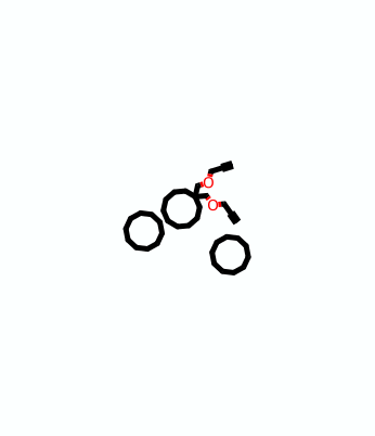 C#CCOCC1(COCC#C)CCCCCCCCC1.C1CCCCCCCCC1.C1CCCCCCCCC1